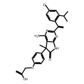 C=C(O)COc1ccc(C2(C)C(=O)Nc3nc(C(=C)c4ccc(Cl)cc4C(C)C)nc(N)c32)cc1